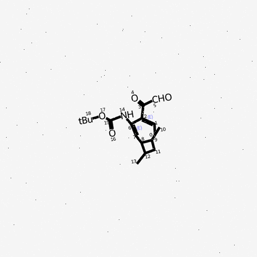 C/C=C(C(=O)C=O)\C(=C/C1C(C)CC1C)NC(=O)OC(C)(C)C